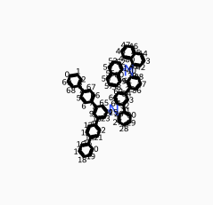 c1ccc(-c2ccc(-c3cc(-c4ccc(-c5ccccc5)cc4)cc(-n4c5ccccc5c5cc(-c6cccc(N(c7cccc8ccccc78)c7cccc8ccccc78)c6)ccc54)c3)cc2)cc1